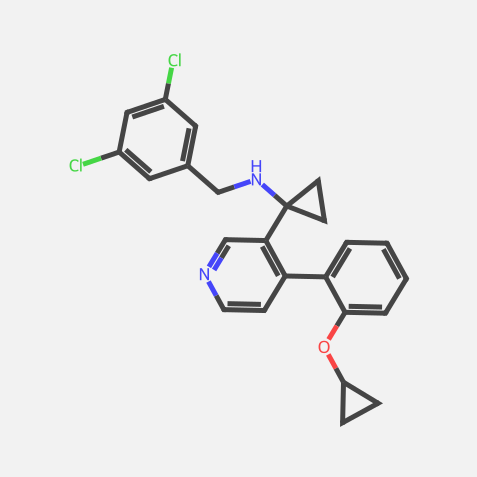 Clc1cc(Cl)cc(CNC2(c3cnccc3-c3ccccc3OC3CC3)CC2)c1